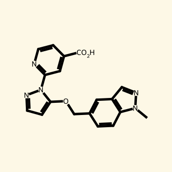 Cn1ncc2cc(COc3ccnn3-c3cc(C(=O)O)ccn3)ccc21